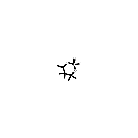 CC1OP(=O)(F)OC(C)(C)C1(F)F